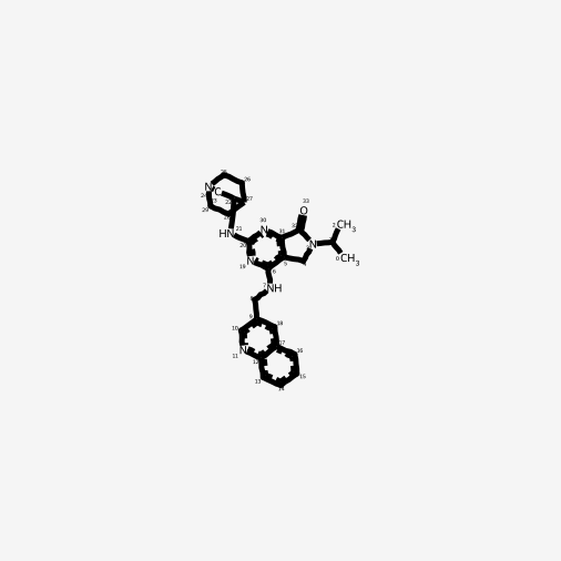 CC(C)N1Cc2c(NCc3cnc4ccccc4c3)nc(NC3CN4CCC3CC4)nc2C1=O